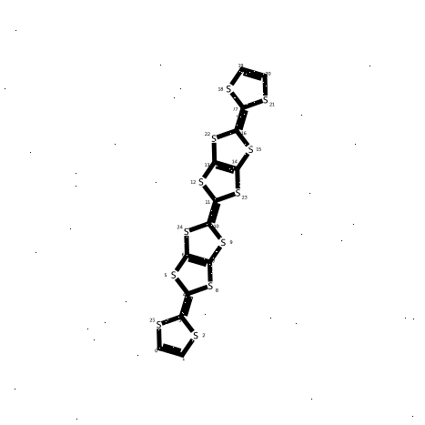 C1=CSC(=C2SC3=C(S2)SC(=C2SC4=C(SC(=C5SC=CS5)S4)S2)S3)S1